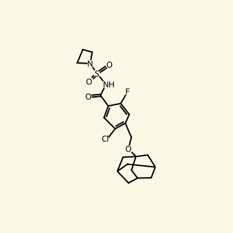 O=C(NS(=O)(=O)N1CCC1)c1cc(Cl)c(COC23CC4CC(CC(C4)C2)C3)cc1F